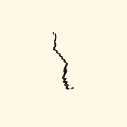 [CH2]CCCCCCCCCC=CCCCCCCCCCCC[CH2]